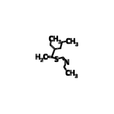 C=C(S/C=N\CC)C(CC)CCC